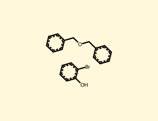 Oc1ccccc1Br.c1ccc(COCc2ccccc2)cc1